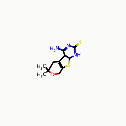 CC1(C)CC2=C(CO1)SC1NC(=S)N=C(N)C21